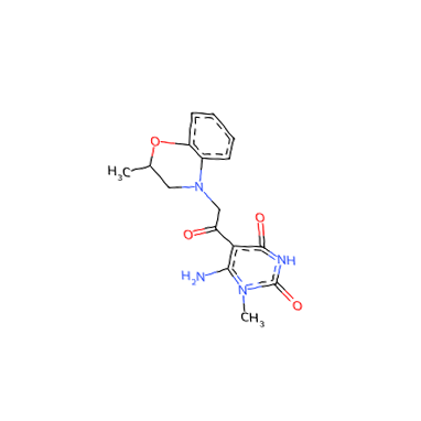 CC1CN(CC(=O)c2c(N)n(C)c(=O)[nH]c2=O)c2ccccc2O1